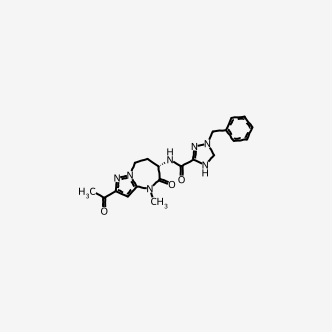 CC(=O)c1cc2n(n1)CC[C@H](NC(=O)C1=NN(Cc3ccccc3)CN1)C(=O)N2C